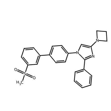 CS(=O)(=O)c1cccc(-c2ccc(-n3cc(N4CCC4)nc3-c3ccccc3)cc2)c1